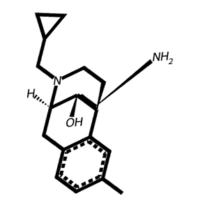 Cc1ccc2c(c1)[C@]13CCN(CC4CC4)[C@H](C2)[C@]1(O)CC[C@@H](N)C3